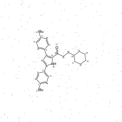 CC(C)(C)c1ccc(-c2cc(-c3ccc(C(C)(C)C)cc3)c(C(=O)CCC3CCCCC3)[nH]2)cc1